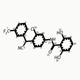 N#CC(c1cccc(C(F)(F)F)c1)c1ccc(NC(=O)c2c(O)cccc2O)cc1Cl